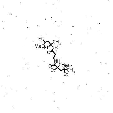 CCC(CC(C)(CC)NC(=O)CCNC(=O)C(C)(CC)CC(C)(CC)OC)OC